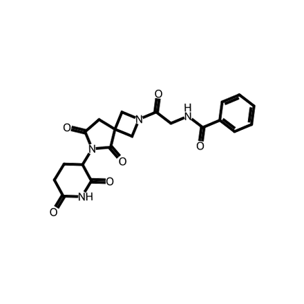 O=C1CCC(N2C(=O)CC3(CN(C(=O)CNC(=O)c4ccccc4)C3)C2=O)C(=O)N1